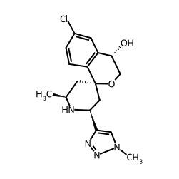 C[C@H]1C[C@@]2(C[C@@H](c3cn(C)nn3)N1)OC[C@@H](O)c1cc(Cl)ccc12